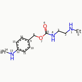 CCNCCNC(=O)OCc1ccc(NC(C)C)cc1